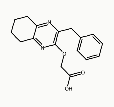 O=C(O)COc1nc2c(nc1Cc1ccccc1)CCCC2